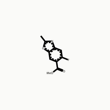 COC(=O)c1cc2oc(C)nc2cc1F